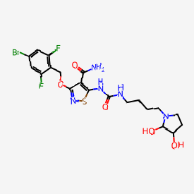 NC(=O)c1c(OCc2c(F)cc(Br)cc2F)nsc1NC(=O)NCCCCN1CCC(O)C1O